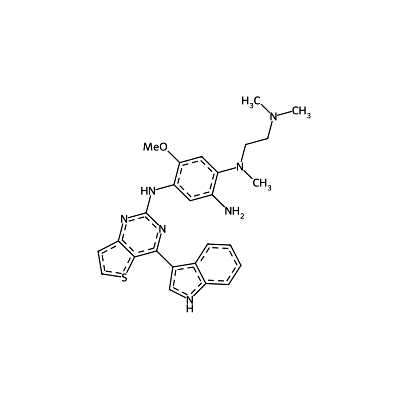 COc1cc(N(C)CCN(C)C)c(N)cc1Nc1nc(-c2c[nH]c3ccccc23)c2sccc2n1